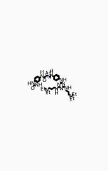 CCN(CC)CCCNc1nc(NCCCN(CC)CC)nc(Nc2ccc(N/N=C(\C(C)=O)C(=O)Nc3ccc4[nH]c(=O)[nH]c4c3)cc2)n1